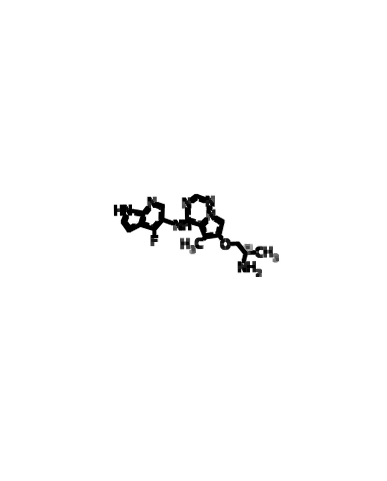 Cc1c(OC[C@@H](C)N)cn2ncnc(Nc3cnc4[nH]ccc4c3F)c12